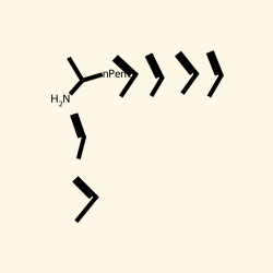 C=CC.C=CC.C=CC.C=CC.C=CC.C=CC.CCCCCC(C)N